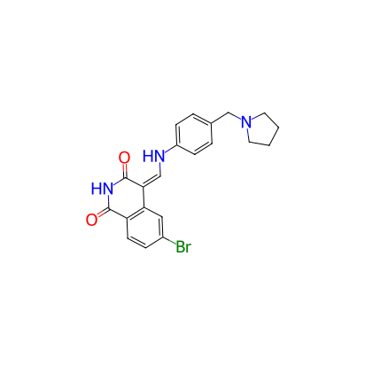 O=C1NC(=O)c2ccc(Br)cc2/C1=C/Nc1ccc(CN2CCCC2)cc1